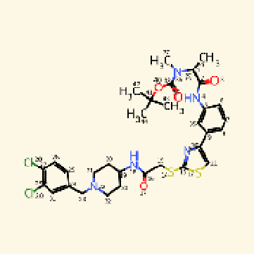 C[C@@H](C(=O)Nc1cccc(-c2csc(SCC(=O)NC3CCN(Cc4ccc(Cl)c(Cl)c4)CC3)n2)c1)N(C)C(=O)OC(C)(C)C